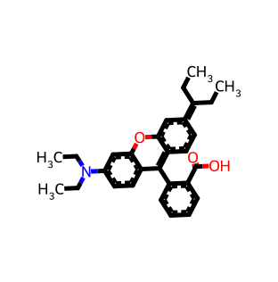 CCC(CC)=c1ccc2c(c1)Oc1cc(N(CC)CC)ccc1C=2c1ccccc1C(=O)O